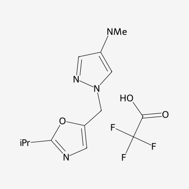 CNc1cnn(Cc2cnc(C(C)C)o2)c1.O=C(O)C(F)(F)F